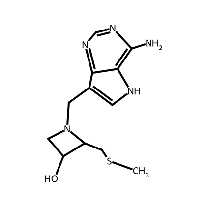 CSCC1C(O)CN1Cc1c[nH]c2c(N)ncnc12